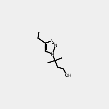 CCc1cn(C(C)(C)CCO)nn1